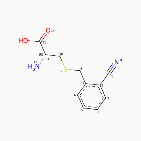 N#Cc1ccccc1CSC[C@H](N)C(=O)O